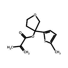 C=C(C)C(=O)OC1(c2ccc(C)s2)CCOC1